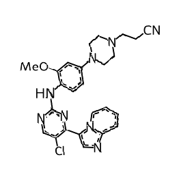 COc1cc(N2CCN(CCC#N)CC2)ccc1Nc1ncc(Cl)c(-c2cnc3ccccn23)n1